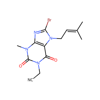 CC(C)=CCn1c(Br)nc2c1c(=O)n(CC#N)c(=O)n2C